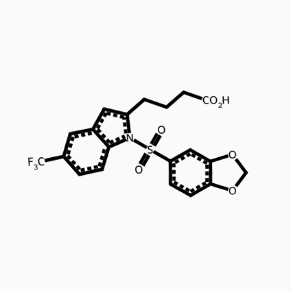 O=C(O)CCCc1cc2cc(C(F)(F)F)ccc2n1S(=O)(=O)c1ccc2c(c1)OCO2